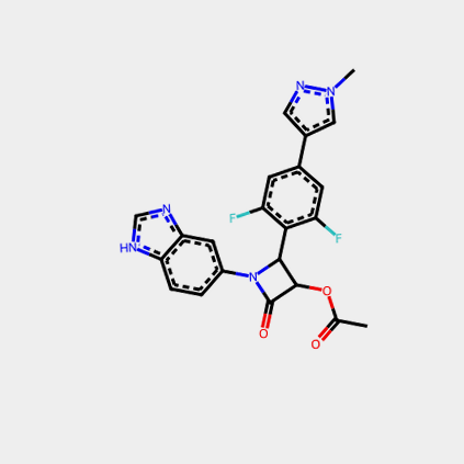 CC(=O)OC1C(=O)N(c2ccc3[nH]cnc3c2)C1c1c(F)cc(-c2cnn(C)c2)cc1F